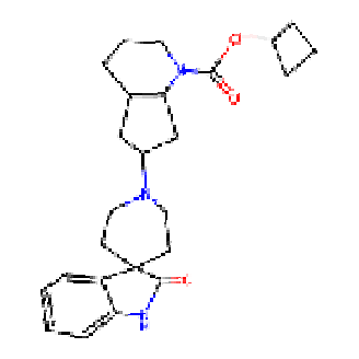 O=C(OC1CCC1)N1CCCC2CC(N3CCC4(CC3)C(=O)Nc3ccccc34)CC21